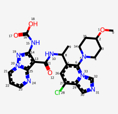 COC1CCN(c2c(C(C)NC(=O)c3c(NC(=O)O)nn4cccnc34)cc(Cl)c3cncn23)CC1